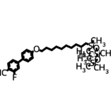 C[Si](C)(C)O[Si](C)(C)O[Si](C)(C)CCCCCCCCCCOc1ccc(-c2ccc(C#N)c(F)c2)cc1